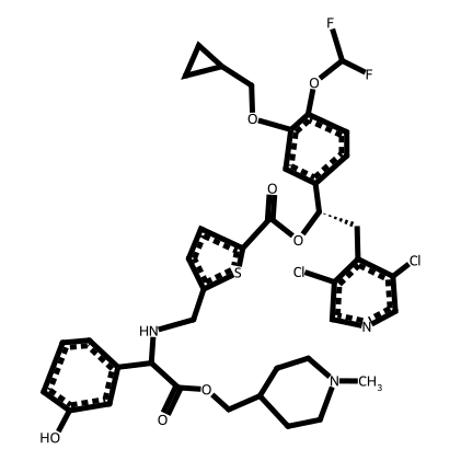 CN1CCC(COC(=O)C(NCc2ccc(C(=O)O[C@@H](Cc3c(Cl)cncc3Cl)c3ccc(OC(F)F)c(OCC4CC4)c3)s2)c2cccc(O)c2)CC1